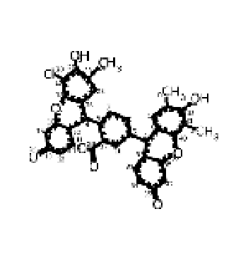 Cc1cc2c(-c3ccc(-c4c5ccc(=O)cc-5oc5c(Cl)c(O)c(C)cc45)c(C(=O)O)c3)c3ccc(=O)cc-3oc2c(C)c1O